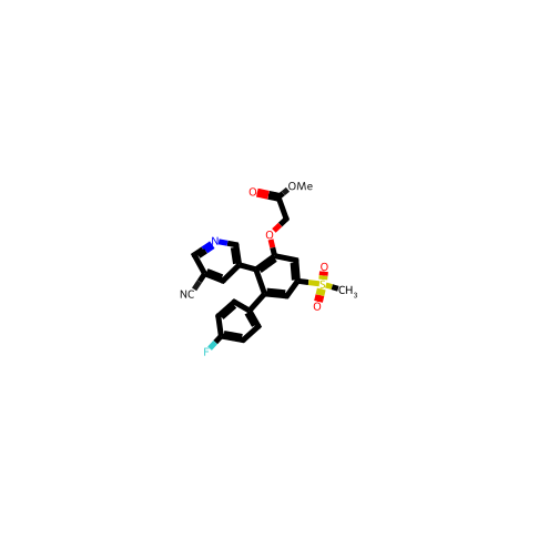 COC(=O)COc1cc(S(C)(=O)=O)cc(-c2ccc(F)cc2)c1-c1cncc(C#N)c1